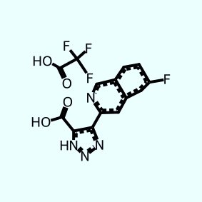 O=C(O)C(F)(F)F.O=C(O)c1[nH]nnc1-c1cc2cc(F)ccc2cn1